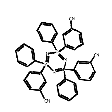 N#Cc1cccc(P2(c3ccccc3)=NP(c3ccccc3)(c3cccc(C#N)c3)=NP(c3ccccc3)(c3cccc(C#N)c3)=N2)c1